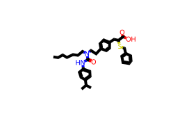 CCCCCCCN(CCc1ccc(CC(SCc2ccccc2)C(=O)O)cc1)C(=O)Nc1ccc(C(C)C)cc1